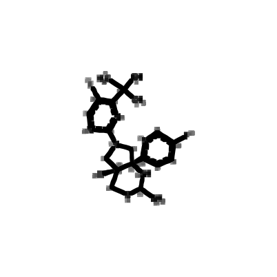 CC(C)(O)c1nc(N2C[C@H]3CSC(N)N[C@@]3(c3ccc(F)cn3)C2)ncc1F